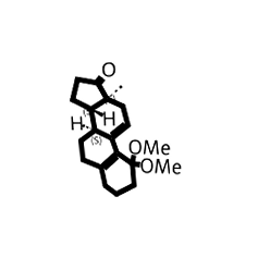 COC1(OC)CCCC2=C1C1=CC[C@]3(C)C(=O)CC[C@H]3[C@@H]1CC2